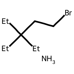 CCC(CC)(CC)CCBr.N